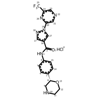 Cl.O=C(Nc1ccc([C@H]2CNCCO2)cc1)c1cnn(-c2cncc(C(F)(F)F)n2)c1